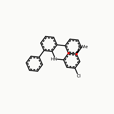 COc1cc(Cl)cc(Nc2c(-c3ccccc3)cccc2-c2ccccc2)c1